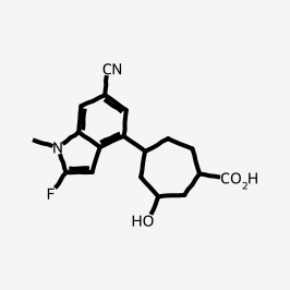 Cn1c(F)cc2c(C3CCC(C(=O)O)CC(O)C3)cc(C#N)cc21